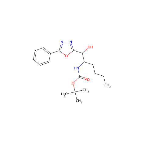 CCCCC(NC(=O)OC(C)(C)C)C(O)c1nnc(-c2ccccc2)o1